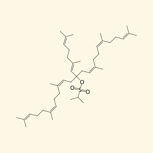 CC(C)=CCCC(C)=CCCC(C)=CCC(/C=C(\C)CCC=C(C)C)(CC=C(C)CCC=C(C)CCC=C(C)C)OS(=O)(=O)C(C)C